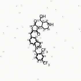 O=C1SC(=Cc2ccc3c(cnn3Cc3ccc(C(F)(F)F)cc3C(F)(F)F)c2)C(=O)N1C1CCNCC1CO